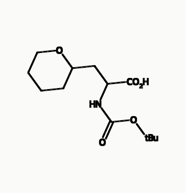 CC(C)(C)OC(=O)NC(CC1CCCCO1)C(=O)O